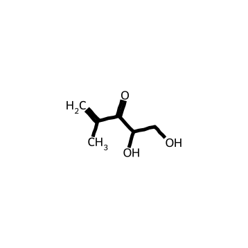 C=C(C)C(=O)C(O)CO